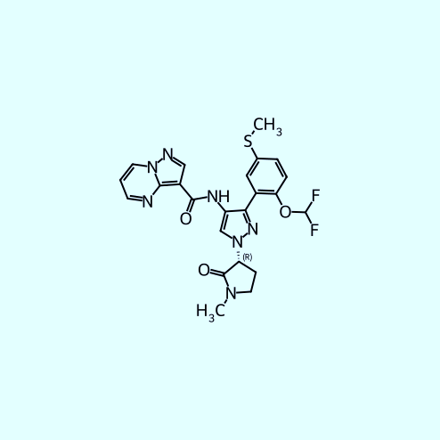 CSc1ccc(OC(F)F)c(-c2nn([C@@H]3CCN(C)C3=O)cc2NC(=O)c2cnn3cccnc23)c1